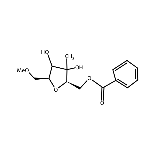 COC[C@@H]1O[C@H](COC(=O)c2ccccc2)C(C)(O)C1O